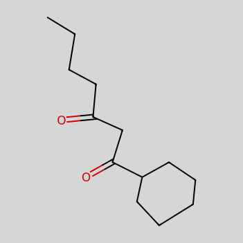 CCCCC(=O)CC(=O)C1CCCCC1